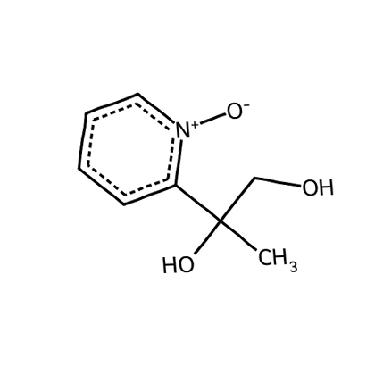 CC(O)(CO)c1cccc[n+]1[O-]